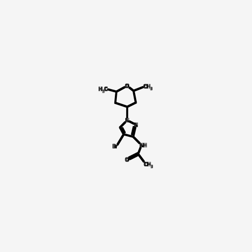 CC(=O)Nc1nn(C2CC(C)OC(C)C2)cc1Br